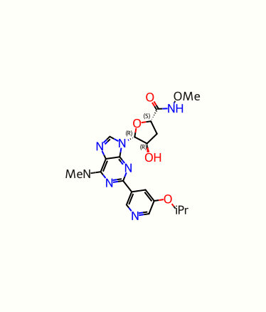 CNc1nc(-c2cncc(OC(C)C)c2)nc2c1ncn2[C@@H]1O[C@H](C(=O)NOC)C[C@H]1O